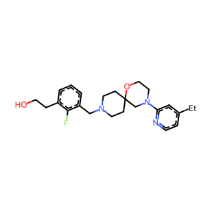 CCc1ccnc(N2CCOC3(CCN(Cc4cccc(CCO)c4F)CC3)C2)c1